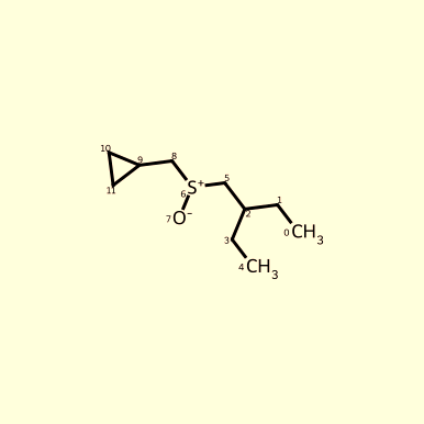 CCC(CC)C[S+]([O-])CC1CC1